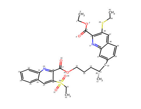 CCOC(=O)c1nc2cc(C[C@H](C)CCCOC(=O)c3nc4ccccc4cc3S(=O)(=O)CC)ccc2cc1SCC